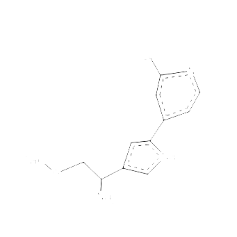 NC(COC=O)c1c[nH]c(-c2ccnc(Cl)c2)c1